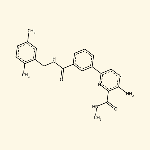 CNC(=O)c1nc(-c2cccc(C(=O)NCc3cc(C)ccc3C)c2)cnc1N